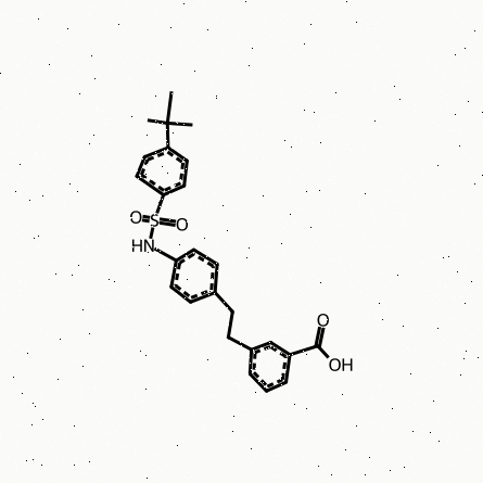 CC(C)(C)c1ccc(S(=O)(=O)Nc2ccc(CCc3cccc(C(=O)O)c3)cc2)cc1